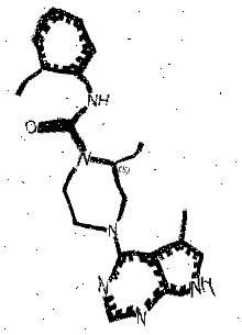 Cc1ccccc1NC(=O)N1CCN(c2ncnc3[nH]cc(C)c23)C[C@@H]1C